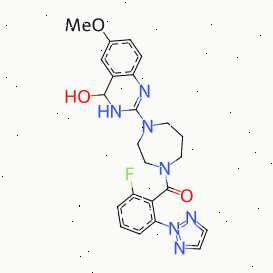 COc1ccc2c(c1)C(O)NC(N1CCCN(C(=O)c3c(F)cccc3-n3nccn3)CC1)=N2